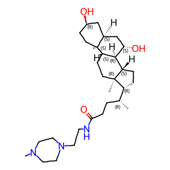 C[C@H](CCC(=O)NCCN1CCN(C)CC1)[C@H]1CC[C@H]2[C@@H]3[C@@H](O)C[C@@H]4C[C@H](O)CC[C@]4(C)[C@H]3CC[C@]12C